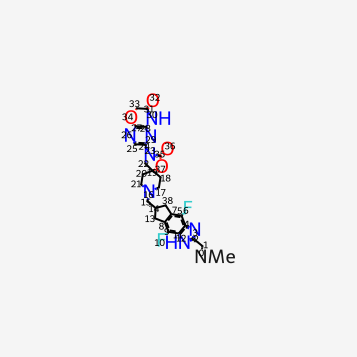 CNCc1nc2c(F)c3c(c(F)c2[nH]1)CC(CN1CCC2(CC1)CN(c1cnc4c(n1)NC(=O)CO4)C(=O)O2)C3